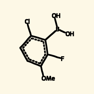 COc1ccc(Cl)c(B(O)O)c1F